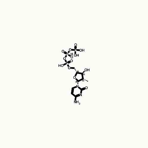 C[C@H]1[C@H](O)[C@@H](COP(=O)(O)OP(=O)(O)OP(=O)(O)O)O[C@H]1n1ccc(N)nc1=O